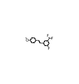 COc1ccc(/C=C/c2cc(F)cc(C(F)F)c2)cc1